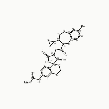 CNC(=O)Nc1ccc2c(c1)CCCC21NC(=O)N(CC(=O)N2Cc3ccc(F)cc3CCC2C2CC2)C1=O